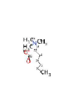 CCCCCCC[N+](C)(C)C.O=C[O-]